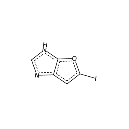 Ic1cc2nc[nH]c2o1